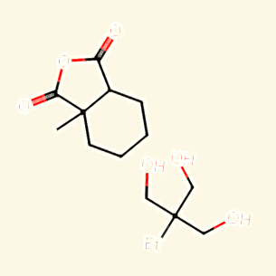 CC12CCCCC1C(=O)OC2=O.CCC(CO)(CO)CO